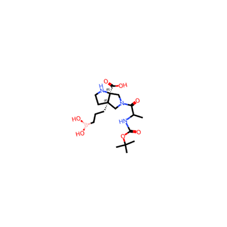 CC(NC(=O)OC(C)(C)C)C(=O)N1C[C@@]2(CCCB(O)O)CCN[C@@]2(C(=O)O)C1